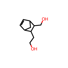 OCCC1C2C=CC(C2)C1CO